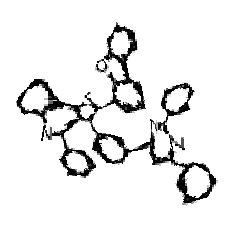 c1ccc(-c2cc(-c3cccc(-c4c(-c5cccc6c5oc5ccccc56)sc5c4c(-c4ccccc4)nc4ccccc45)c3)nc(-c3ccccc3)n2)cc1